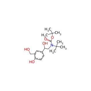 CC(C)(C)OC(=O)N(CC(O)c1ccc(O)c(CO)c1)C(C)(C)C